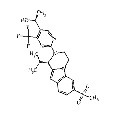 CC(C)[C@@H]1c2cc3ccc(S(C)(=O)=O)cc3n2CCN1c1ncc([C@H](C)O)c(C(F)(F)F)n1